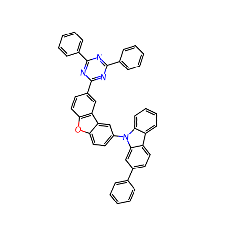 c1ccc(-c2ccc3c4ccccc4n(-c4ccc5oc6ccc(-c7nc(-c8ccccc8)nc(-c8ccccc8)n7)cc6c5c4)c3c2)cc1